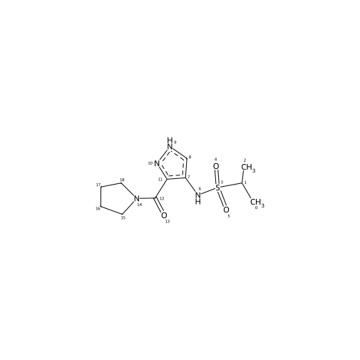 CC(C)S(=O)(=O)Nc1c[nH]nc1C(=O)N1CCCC1